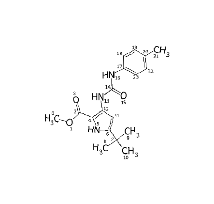 COC(=O)c1[nH]c(C(C)(C)C)cc1NC(=O)Nc1ccc(C)cc1